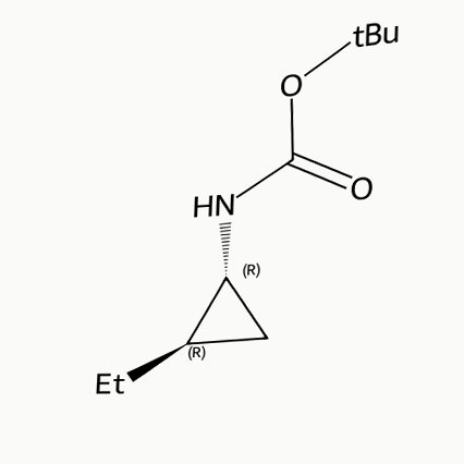 CC[C@@H]1C[C@H]1NC(=O)OC(C)(C)C